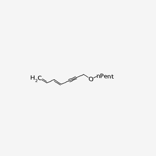 C=C/C=C/C#CCOCCCCC